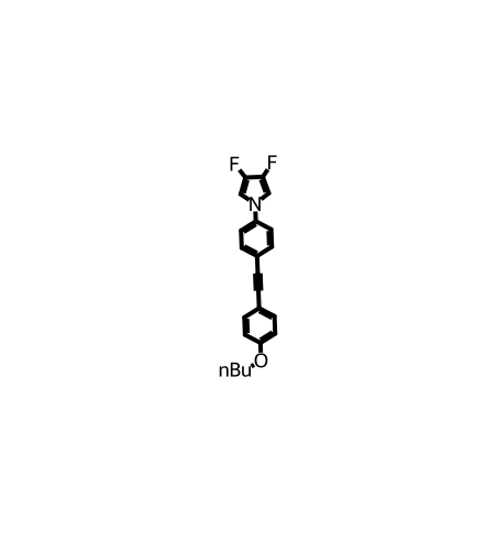 CCCCOc1ccc(C#Cc2ccc(-n3cc(F)c(F)c3)cc2)cc1